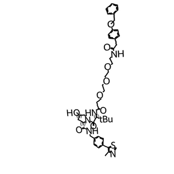 Cc1ncsc1-c1ccc(CNC(=O)[C@@H]2C[C@@H](O)CN2C(=O)[C@@H](NC(=O)CCOCCOCCOCCNC(=O)Cc2ccc(OCc3ccccc3)cc2)C(C)(C)C)cc1